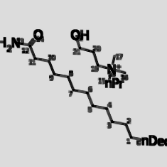 CCCCCCCCCCCCCCCCCCCCCC(N)=O.CCC[N+](C)(C)CCCO